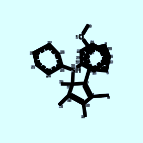 COc1cccc(C2=C(C)C(C)=C(C)C2(C)[SiH](c2ccccc2)c2ccccc2)c1